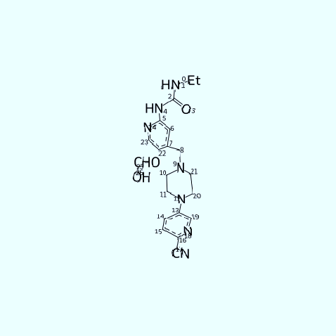 CCNC(=O)Nc1cc(CN2CCN(c3ccc(C#N)nc3)CC2)ccn1.O=CO